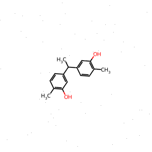 Cc1ccc(C(C)c2ccc(C)c(O)c2)cc1O